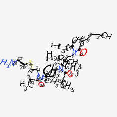 C#CCCCC(=O)N(CCC(C)(C)C(C)(C)N(CCC(C)(C)N(CCSCCN)C(=O)CC)C(=O)CC)C(C)C